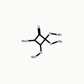 CCCCOC1C(OC)C(=O)C1(OCCCC)OCCCC